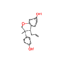 C=CCC1c2ccc(O)cc2OCC1(C)c1ccc(O)cc1